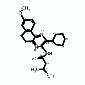 COc1ccc2c(c1)CCc1nc(NC(=O)CC(C)C)c(C3CCCCC3)nc1-2